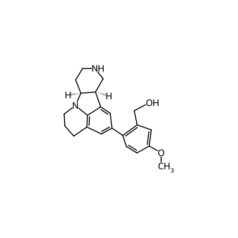 COc1ccc(-c2cc3c4c(c2)[C@@H]2CNCC[C@@H]2N4CCC3)c(CO)c1